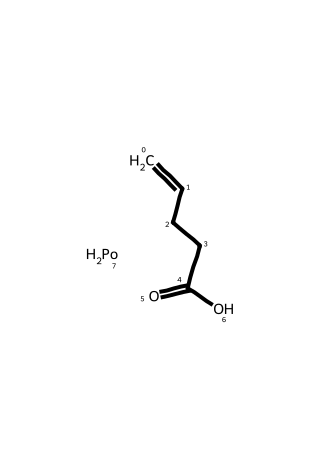 C=CCCC(=O)O.[PoH2]